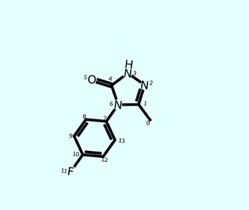 Cc1n[nH]c(=O)n1-c1ccc(F)cc1